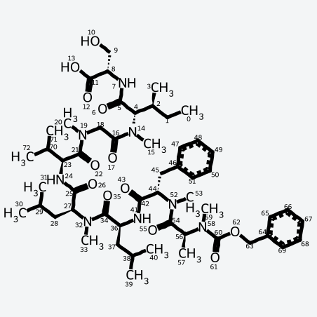 CC[C@H](C)[C@@H](C(=O)N[C@@H](CO)C(=O)O)N(C)C(=O)CN(C)C(=O)[C@@H](NC(=O)[C@H](CC(C)C)N(C)C(=O)[C@H](CC(C)C)NC(=O)[C@H](Cc1ccccc1)N(C)C(=O)[C@H](C)N(C)C(=O)OCc1ccccc1)C(C)C